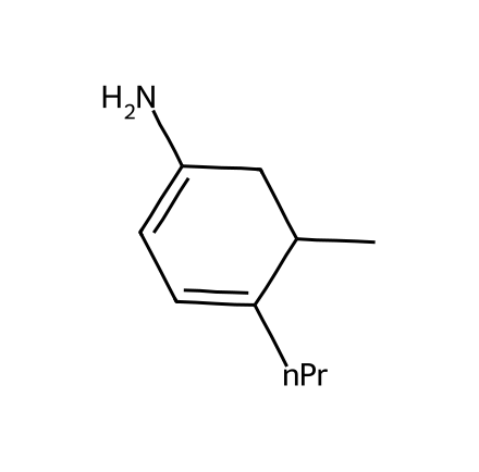 CCCC1=CC=C(N)CC1C